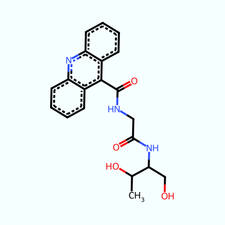 CC(O)C(CO)NC(=O)CNC(=O)c1c2ccccc2nc2ccccc12